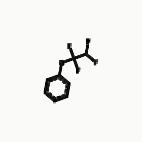 FC(F)C(F)(F)Oc1cc[c]cc1